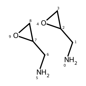 NCC1CO1.NCC1CO1